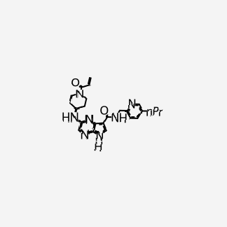 C=CC(=O)N1CCC(Nc2cnc3[nH]cc(C(=O)NCc4ccc(CCC)cn4)c3n2)CC1